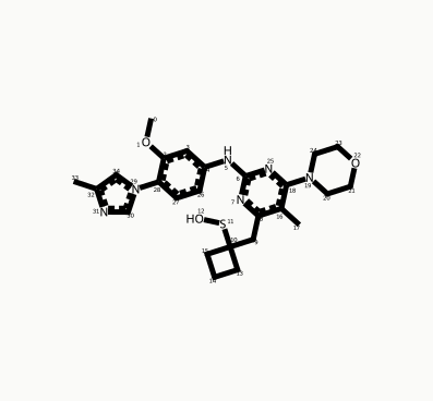 COc1cc(Nc2nc(CC3(SO)CCC3)c(C)c(N3CCOCC3)n2)ccc1-n1cnc(C)c1